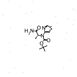 C[C@@H](C(N)=O)N(C(=O)OC(C)(C)C)c1cscn1